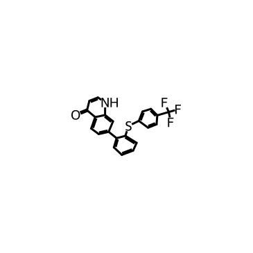 O=c1cc[nH]c2cc(-c3ccccc3Sc3ccc(C(F)(F)F)cc3)ccc12